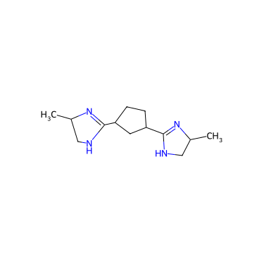 CC1CNC(C2CCC(C3=NC(C)CN3)C2)=N1